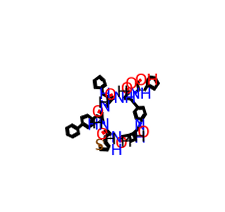 O=C(O)[C@H](Cc1ccccc1)NC(=O)[C@H]1Cc2ccc(cc2)NC(=O)[C@@H]2CC[C@@H]2C(=O)N[C@@H](Cc2cccs2)C(=O)N[C@H](Cc2ccc(-c3ccccc3)cc2)C(=O)N[C@@H](CCc2ccccc2)C(=O)N1